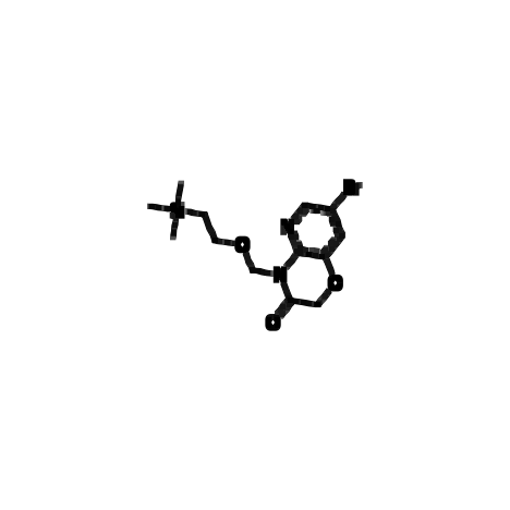 C[Si](C)(C)CCOCN1C(=O)COc2cc(Br)cnc21